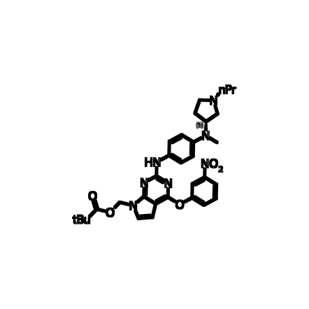 CCCN1CC[C@H](N(C)c2ccc(Nc3nc(Oc4cccc([N+](=O)[O-])c4)c4ccn(COC(=O)C(C)(C)C)c4n3)cc2)C1